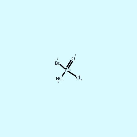 N#CP(=O)(Cl)Br